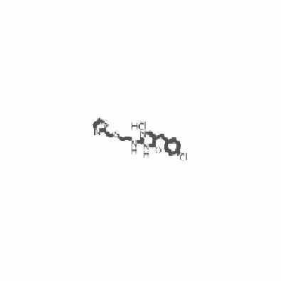 Cl.O=c1[nH]c(NCCSCc2nccs2)ncc1Cc1ccc(Cl)cc1